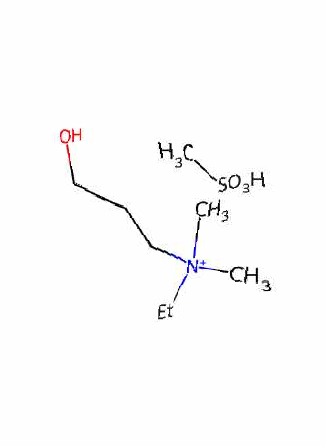 CC[N+](C)(C)CCCO.CS(=O)(=O)O